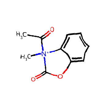 CC(=O)[N+]1(C)C(=O)Oc2ccccc21